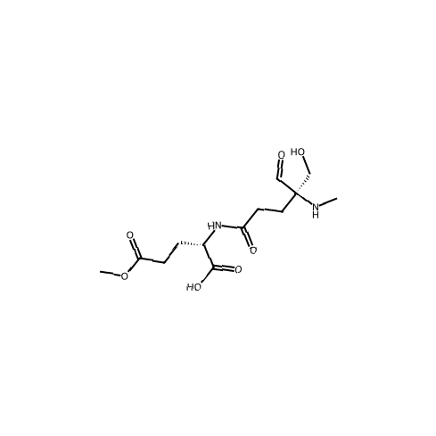 CN[C@@](C=O)(CO)CCC(=O)N[C@@H](CCC(=O)OC)C(=O)O